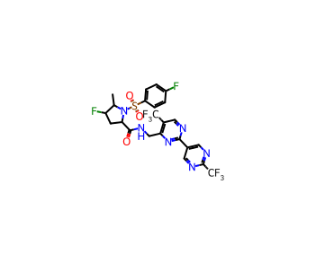 CC1C(F)CC(C(=O)NCc2nc(-c3cnc(C(F)(F)F)nc3)ncc2C(F)(F)F)N1S(=O)(=O)c1ccc(F)cc1